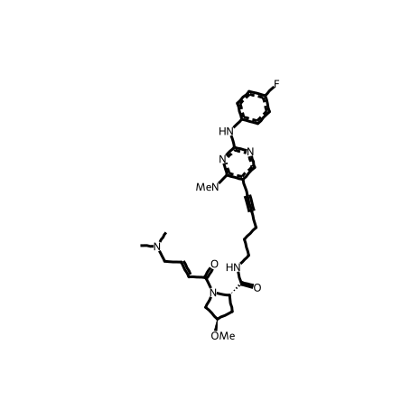 CNc1nc(Nc2ccc(F)cc2)ncc1C#CCCCNC(=O)[C@@H]1C[C@@H](OC)CN1C(=O)C=CCN(C)C